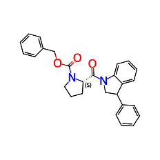 O=C([C@@H]1CCCN1C(=O)OCc1ccccc1)N1CC(c2ccccc2)c2ccccc21